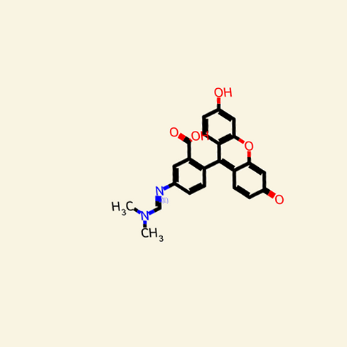 CN(C)/C=N/c1ccc(-c2c3ccc(=O)cc-3oc3cc(O)ccc23)c(C(=O)O)c1